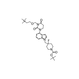 CC(C)(C)OC(=O)N1CCC(F)(Cn2ccc3c(N4CCC(=O)N(COCC[Si](C)(C)C)C4=O)cccc32)CC1